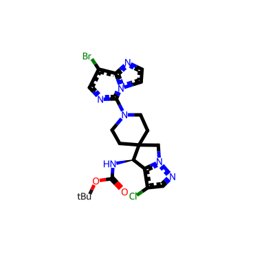 CC(C)(C)OC(=O)N[C@@H]1c2c(Cl)cnn2CC12CCN(c1ncc(Br)c3nccn13)CC2